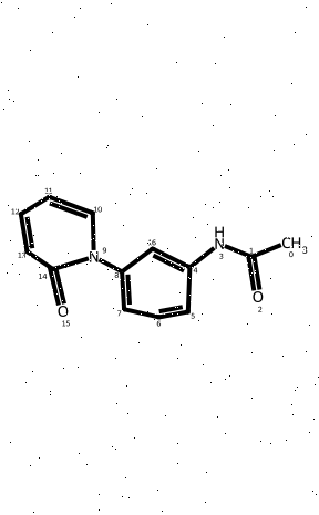 CC(=O)Nc1cccc(-n2ccccc2=O)c1